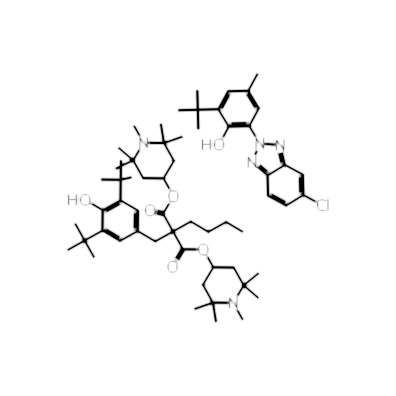 CCCCC(Cc1cc(C(C)(C)C)c(O)c(C(C)(C)C)c1)(C(=O)OC1CC(C)(C)N(C)C(C)(C)C1)C(=O)OC1CC(C)(C)N(C)C(C)(C)C1.Cc1cc(-n2nc3ccc(Cl)cc3n2)c(O)c(C(C)(C)C)c1